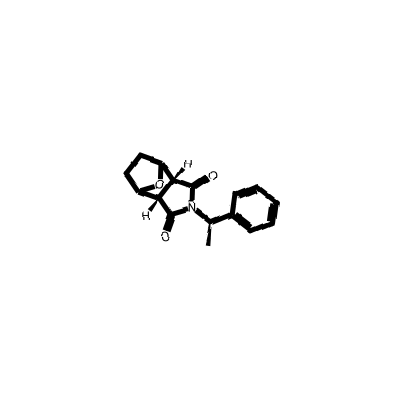 C[C@H](c1ccccc1)N1C(=O)[C@@H]2C3CCC(O3)[C@@H]2C1=O